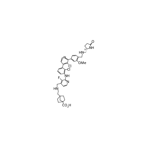 COc1cc(-c2nccc(-c3cccc(Nc4nccc(CNCCC56CCC(C(=O)O)(CC5)C6)c4F)c3Cl)c2Cl)ccc1CNC[C@@H]1CCC(=O)N1